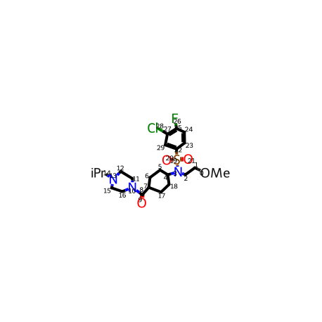 COCCN(C1CCC(C(=O)N2CCN(C(C)C)CC2)CC1)S(=O)(=O)c1ccc(F)c(Cl)c1